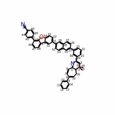 CC/C=C(\N=C1\C=CC(c2ccccc2)=CCC1CC)c1cccc(-c2ccc3cc(-c4ccc5oc6c(-c7ccc(C#N)cc7)cccc6c5c4)ccc3c2)c1